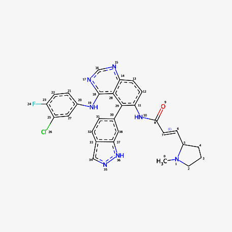 CN1CCCC1/C=C/C(=O)Nc1ccc2ncnc(Nc3ccc(F)c(Cl)c3)c2c1-c1ccc2cn[nH]c2c1